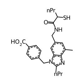 CCCc1nc2c(C)cc(CNC(=O)C(S)CCC)cc2n1Cc1ccc(C(=O)O)cc1